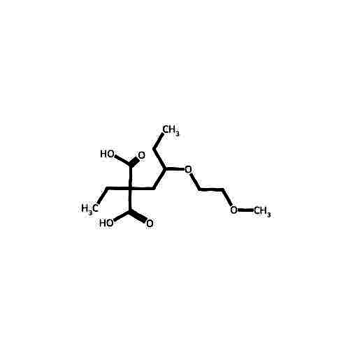 CCC(CC(CC)(C(=O)O)C(=O)O)OCCOC